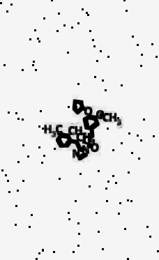 COc1cc(COC(=O)n2ccnc2[C@@H](C)c2cccc(C)c2C)ccc1OC1CCCC1